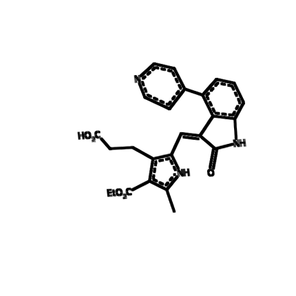 CCOC(=O)c1c(C)[nH]c(C=C2C(=O)Nc3cccc(-c4ccncc4)c32)c1CCC(=O)O